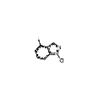 Cln1ncc2c(I)cccc21